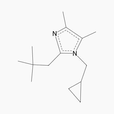 Cc1nc(CC(C)(C)C)n(CC2CC2)c1C